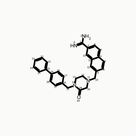 N=C(N)c1ccc2ccc(CN3CCN(Cc4ccc(-c5ccccc5)cc4)C(=O)C3)cc2c1